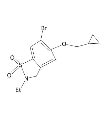 CCN1Cc2cc(OCC3CC3)c(Br)cc2S1(=O)=O